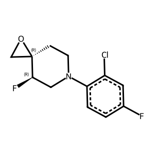 Fc1ccc(N2CC[C@@]3(CO3)[C@H](F)C2)c(Cl)c1